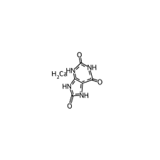 O=c1[nH]c(=O)c2[nH]c(=O)[nH]c2[nH]1.[CaH2]